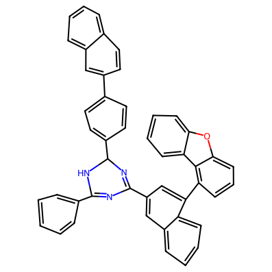 c1ccc(C2=NC(c3cc(-c4cccc5oc6ccccc6c45)c4ccccc4c3)=NC(c3ccc(-c4ccc5ccccc5c4)cc3)N2)cc1